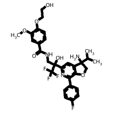 COc1cc(C(=O)NCC(O)(c2cc3c(c(-c4ccc(F)cc4)n2)OCC3(N)C(C)C)C(F)(F)F)ccc1OCCO